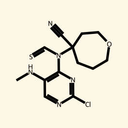 CNc1cnc(Cl)nc1N(C=S)C1(C#N)CCCOCC1